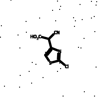 N#CC(C(=O)O)c1csc(Cl)n1